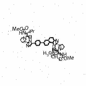 COC(=O)N[C@@H](C[Si](C)(C)C)C(=O)N1CCC[C@H]1c1nc2ccc3cc(-c4ccc(-c5cnc([C@@H]6CCCN6C(=O)[C@@H](NC(=O)OC)C(C)C)[nH]5)cc4)ccc3c2[nH]1